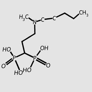 CCCCCN(C)CCC(P(=O)(O)O)P(=O)(O)O